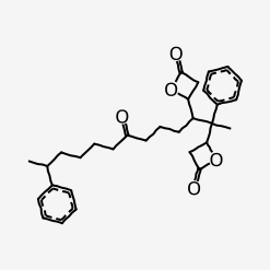 CC(CCCCC(=O)CCCC(C1CC(=O)O1)C(C)(c1ccccc1)C1CC(=O)O1)c1ccccc1